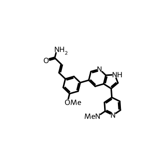 CNc1cc(-c2c[nH]c3ncc(-c4cc(C=CC(N)=O)cc(OC)c4)cc23)ccn1